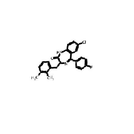 Cc1cccc(CC2N=C(c3ccc(F)cc3)c3cc(Cl)ccc3NC2=O)c1C